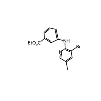 CCOC(=O)c1cccc(Nc2ncc(C)cc2Br)c1